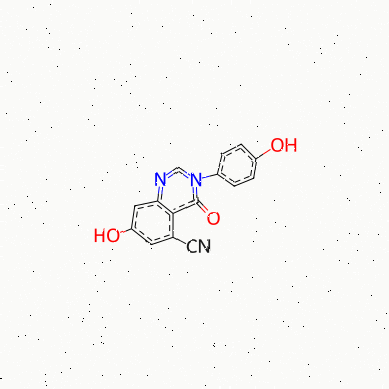 N#Cc1cc(O)cc2ncn(-c3ccc(O)cc3)c(=O)c12